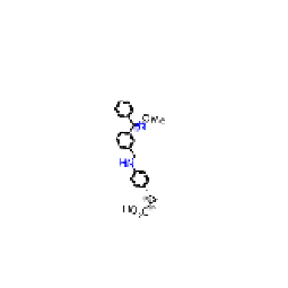 CO/N=C(\c1ccccc1)c1cccc(CNc2ccc([C@@H]3C[C@H]3C(=O)O)cc2)c1